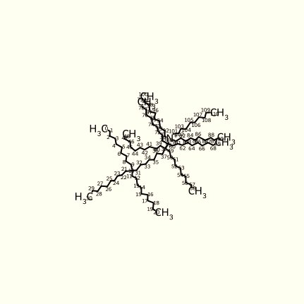 CCCCCCCCCCC(CCCCCCCCCC)(CCCCCCCCCC)CCCCCCCC(CCCCCCCCCC)(CCCCCCCCCC)C(CCCCCCCCCC)(CCCCCCCCCC)[N+](CCCCCCCCCC)(CCCCCCCCCC)CCCCCCCCCC